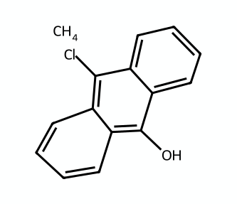 C.Oc1c2ccccc2c(Cl)c2ccccc12